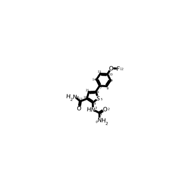 NC(=O)Nc1sc(-c2ccc(OF)cc2)cc1C(N)=O